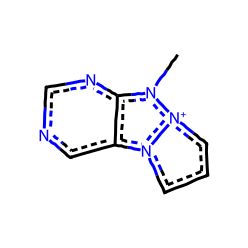 Cn1c2ncncc2n2ccc[n+]12